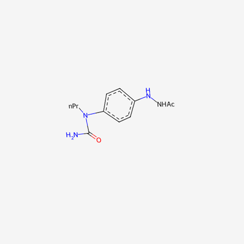 CCCN(C(N)=O)c1ccc(NNC(C)=O)cc1